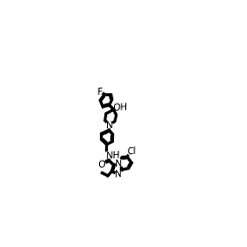 CCc1nc2ccc(Cl)cn2c1C(=O)NCc1ccc(N2CCC(O)(c3ccc(F)cc3)CC2)cc1